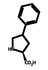 O=C(O)[C@@H]1CC(c2ccccc2)CN1